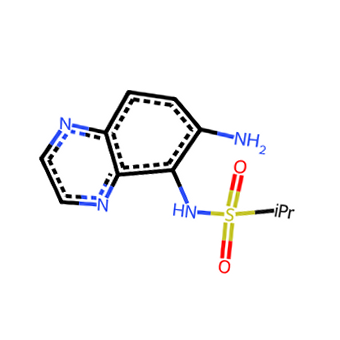 CC(C)S(=O)(=O)Nc1c(N)ccc2nccnc12